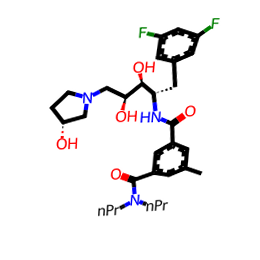 CCCN(CCC)C(=O)c1cc(C)cc(C(=O)N[C@@H](Cc2cc(F)cc(F)c2)[C@H](O)[C@@H](O)CN2CC[C@@H](O)C2)c1